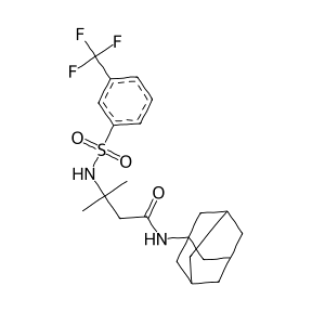 CC(C)(CC(=O)NC12CC3CC(CC(C3)C1)C2)NS(=O)(=O)c1cccc(C(F)(F)F)c1